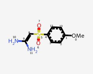 COc1ccc(S(=O)(=O)C=C(N)N)cc1